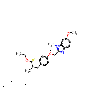 CCOC(=S)C(C)Cc1ccc(OCc2nc3ccc(OC)cc3n2C)cc1